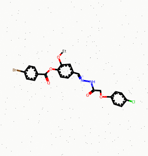 CCOc1cc(/C=N/NC(=O)COc2ccc(Cl)cc2)ccc1OC(=O)c1ccc(Br)cc1